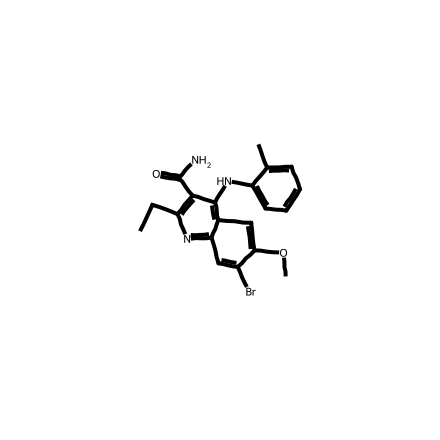 CCc1nc2cc(Br)c(OC)cc2c(Nc2ccccc2C)c1C(N)=O